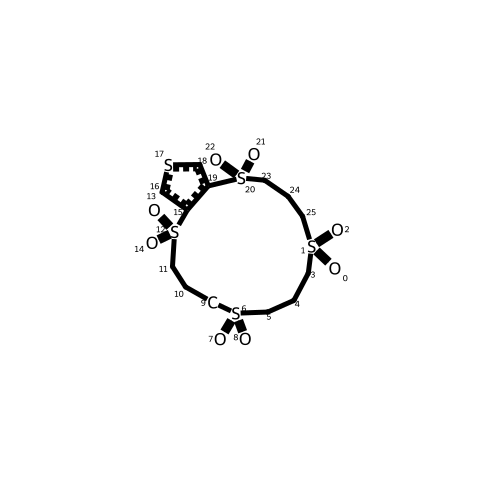 O=S1(=O)CCCS(=O)(=O)CCCS(=O)(=O)c2cscc2S(=O)(=O)CCC1